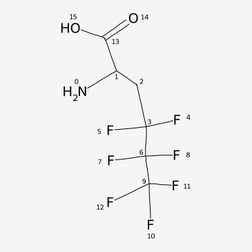 NC(CC(F)(F)C(F)(F)C(F)(F)F)C(=O)O